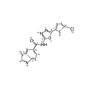 O=C(Nc1nnc(-c2ccc(Cl)s2)o1)c1ccc2ncsc2c1